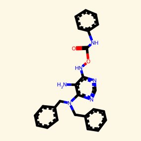 Nc1c(NOC(=O)Nc2ccccc2)ncnc1N(Cc1ccccc1)Cc1ccccc1